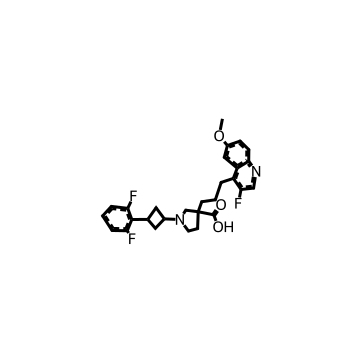 COc1ccc2ncc(F)c(CCCC3(C(=O)O)CCN(C4CC(c5c(F)cccc5F)C4)C3)c2c1